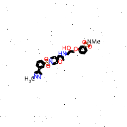 CNS(=O)(=O)c1cccc(OCC(O)CNC2COC3(CCN(S(=O)(=O)c4cccc(-c5cnn(C)c5)c4)CC3)C2)c1